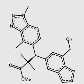 COC(=O)C(C)(C)[C@H](c1cc(CO)c2sccc2c1)c1cnc2c(nnn2C)c1C